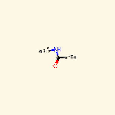 CCC[CH]NC(=O)CCCC